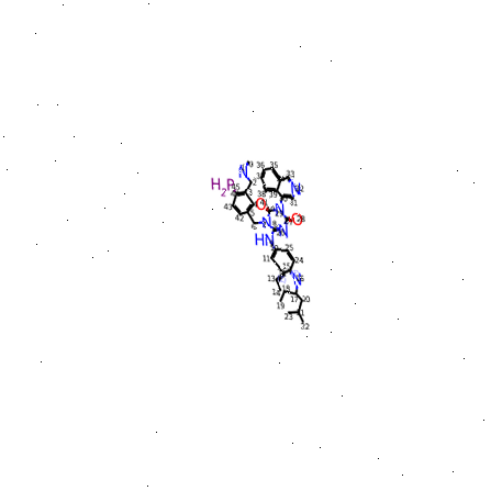 C=NCc1cc(Cn2c(NC3=CC(=C/C)/C(=N\C(CC)CC(C)C)C=C3)nc(=O)n(-c3cncc4ccccc34)c2=O)ccc1P